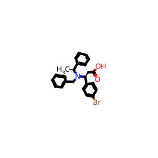 C[C@H](c1ccccc1)N(Cc1ccccc1)[C@@H](CC(=O)O)c1ccc(Br)cc1